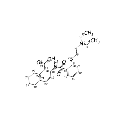 CCN(CC)CCSc1ccccc1S(=O)(=O)Nc1ccc2c(c1C(=O)O)CCCC2